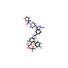 Cc1cc2nc(-c3ccc4c(c3)c(C3CCN(C(=O)C5(C)CCCO5)CC3)nn4C)sc2c(-c2ccc(Cl)cc2)c1C(OC(C)(C)C)C(=O)O